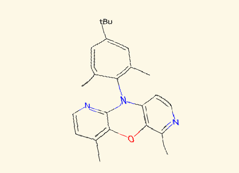 Cc1ccnc2c1Oc1c(ccnc1C)N2c1c(C)cc(C(C)(C)C)cc1C